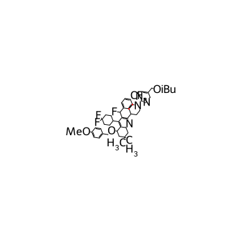 COc1ccc(COC2CC(C)(C)Cc3nc(C4CCN(c5ncc(COCC(C)C)cn5)CC4)c(C(F)c4ccc(C(F)(F)F)cc4)c(C4CCC(F)(F)CC4)c32)cc1